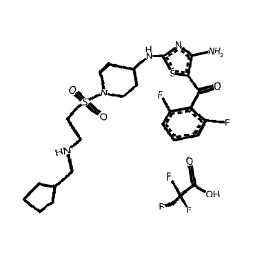 Nc1nc(NC2CCN(S(=O)(=O)CCNCC3CCCC3)CC2)sc1C(=O)c1c(F)cccc1F.O=C(O)C(F)(F)F